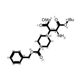 COC(=O)C([C@H](N)C(=O)OC(C)(C)C)N1CCN(C(=O)OCc2ccccc2)CC1